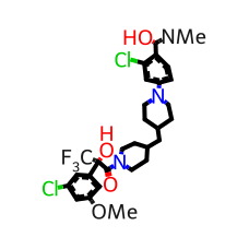 CNC(O)c1ccc(N2CCC(CC3CCN(C(=O)C(O)(c4cc(Cl)cc(OC)c4)C(F)(F)F)CC3)CC2)cc1Cl